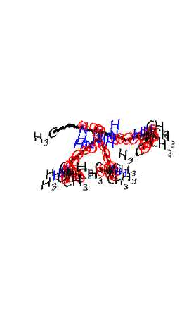 CCCCCCCCCCCC(=O)NCCCC[C@H](NC(=O)[C@H](CCCCNC(=O)COCCOCCOCCO[C@@H]1O[C@H](COC(C)=O)[C@H](OC(C)=O)[C@H](OC(C)=O)[C@H]1NC(C)=O)NC(=O)[C@H](CCCCNC(=O)COCCOCCOCCO[C@@H]1O[C@H](COC(C)=O)[C@H](OC(C)=O)[C@H](OC(C)=O)[C@H]1NC(C)=O)NC(=O)COCCOCCOCCO[C@@H]1O[C@H](COC(C)=O)[C@H](OC(C)=O)[C@H](OC(C)=O)[C@H]1NC(C)=O)C(=O)O